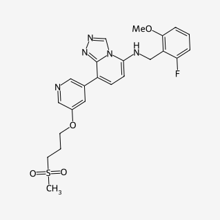 COc1cccc(F)c1CNc1ccc(-c2cncc(OCCCS(C)(=O)=O)c2)c2nncn12